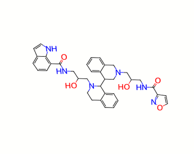 O=C(NCC(O)CN1Cc2ccccc2C(C2c3ccccc3CCN2CC(O)CNC(=O)c2cccc3cc[nH]c23)C1)c1ccon1